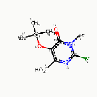 CC(C)n1c(Br)nc(C(=O)O)c(O[Si](C)(C)C(C)(C)C)c1=O